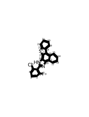 Fc1cccc(Cl)c1-c1nc2c3ccccc3c3c4ccccc4sc3c2[nH]1